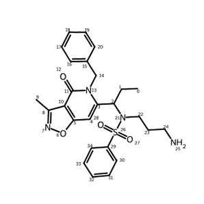 CCC(c1cc2onc(C)c2c(=O)n1Cc1ccccc1)N(CCCN)S(=O)(=O)c1ccccc1